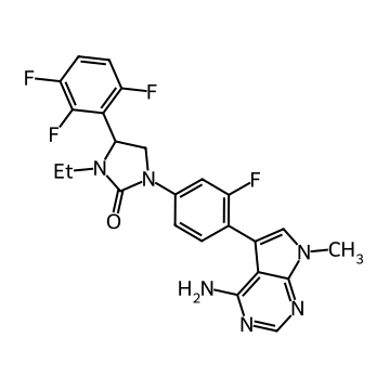 CCN1C(=O)N(c2ccc(-c3cn(C)c4ncnc(N)c34)c(F)c2)CC1c1c(F)ccc(F)c1F